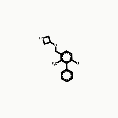 FC(F)(F)c1c(COC2CNC2)ccc(Cl)c1-c1ccccc1